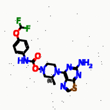 C[C@H]1CN(OC(=O)Nc2ccc(OC(F)F)cc2)CCN1c1nc(N)nc2scnc12